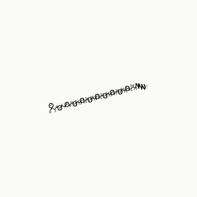 CC(=O)CCOCCOCCOCCOCCOCCOCCOCCOCCOCCOCCCN=[N+]=[N-]